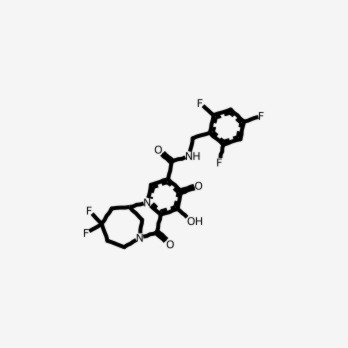 O=C(NCc1c(F)cc(F)cc1F)c1cn2c(c(O)c1=O)C(=O)N1CCC(F)(F)CC2C1